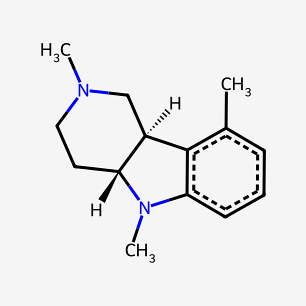 Cc1cccc2c1[C@@H]1CN(C)CC[C@H]1N2C